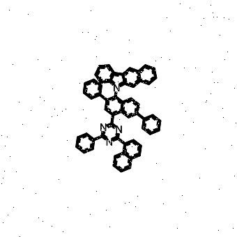 c1ccc(-c2ccc3c(-n4c5ccccc5c5cc6ccccc6cc54)c(-c4ccccc4)cc(-c4nc(-c5ccccc5)nc(-c5cccc6ccccc56)n4)c3c2)cc1